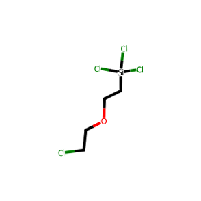 ClCCOCC[Si](Cl)(Cl)Cl